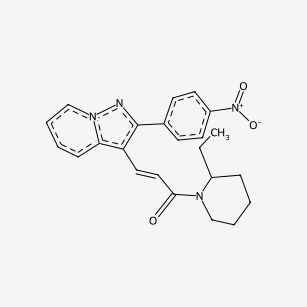 CCC1CCCCN1C(=O)C=Cc1c(-c2ccc([N+](=O)[O-])cc2)nn2ccccc12